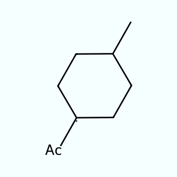 CC(=O)[C]1CCC(C)CC1